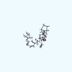 [2H]C([2H])([2H])Oc1cc(C(F)(F)CCC(=O)N2CC3CCC(C2)N3c2ccc(C#N)cn2)ccn1